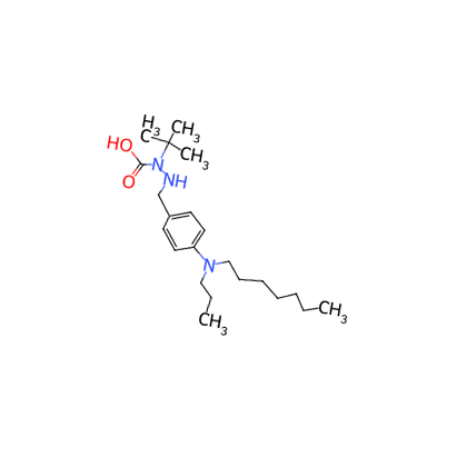 CCCCCCCN(CCC)c1ccc(CNN(C(=O)O)C(C)(C)C)cc1